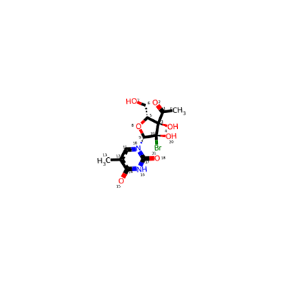 CC(=O)[C@@]1(O)[C@@H](CO)O[C@@H](n2cc(C)c(=O)[nH]c2=O)[C@@]1(O)Br